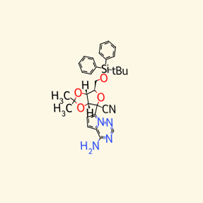 CC1(C)O[C@H]2[C@@H](O1)C(C#N)(c1ccc3c(N)ncnn13)O[C@@H]2CO[Si](c1ccccc1)(c1ccccc1)C(C)(C)C